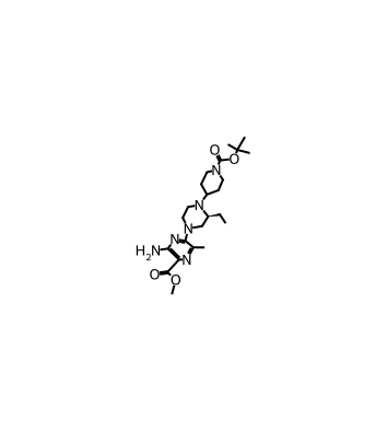 CC[C@H]1CN(c2nc(N)c(C(=O)OC)nc2C)CCN1C1CCN(C(=O)OC(C)(C)C)CC1